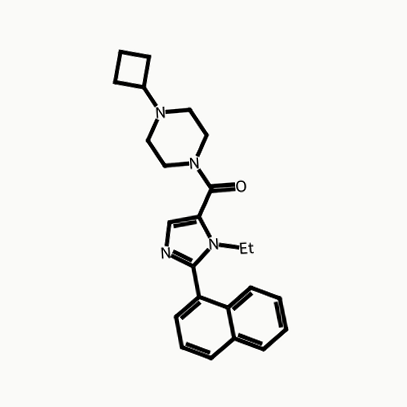 CCn1c(C(=O)N2CCN(C3CCC3)CC2)cnc1-c1cccc2ccccc12